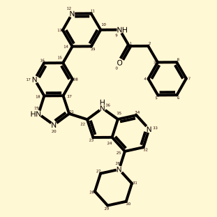 O=C(Cc1ccccc1)Nc1cncc(-c2cnc3[nH]nc(-c4cc5c(N6CCCCC6)cncc5[nH]4)c3c2)c1